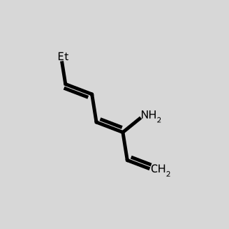 C=C/C(N)=C/C=C/CC